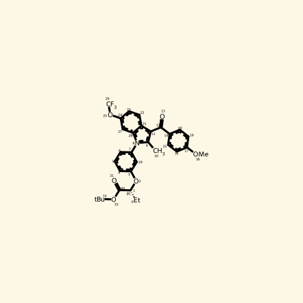 CC[C@@H](Oc1cccc(-n2c(C)c(C(=O)c3ccc(OC)cc3)c3ccc(OC(F)(F)F)cc32)c1)C(=O)OC(C)(C)C